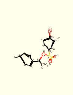 Cc1ccc(C(OS(=O)(=O)c2ccc(Br)cc2)C(F)(F)F)cc1